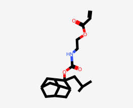 C=CC(=O)OCCNC(=O)OC1(CC(C)C)C2CC3CC(C2)CC1C3